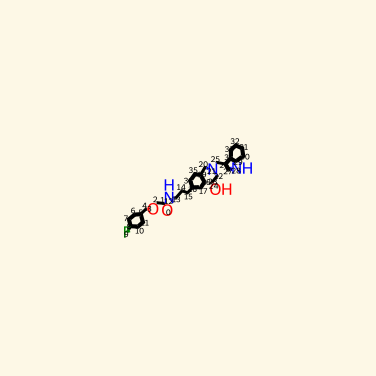 O=C(COCc1ccc(F)cc1)NCCCc1ccc(CN(CCO)Cc2c[nH]c3ccccc23)cc1